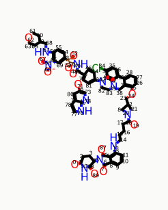 O=C1CCC(N2C(=O)c3cccc(NCCCCC(=O)N4CC(COc5cccc(-c6ccc(Cl)cc6)c5CN5CCN(c6ccc(C(=O)NS(=O)(=O)c7ccc(NCC8CCOCC8)c([N+](=O)[O-])c7)c(Oc7cnc8[nH]ccc8c7)c6)CC5)C4)c3C2=O)C(=O)N1